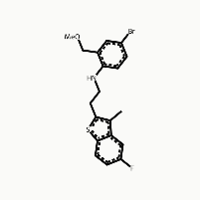 COCc1cc(Br)ccc1NCCc1sc2ccc(F)cc2c1C